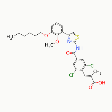 CCCCCCOc1cccc(-c2csc(NC(=O)c3cc(Cl)c(C=C(C)C(=O)O)c(Cl)c3)n2)c1OC